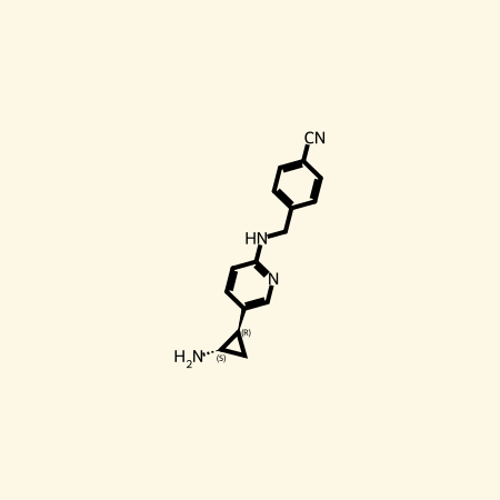 N#Cc1ccc(CNc2ccc([C@H]3C[C@@H]3N)cn2)cc1